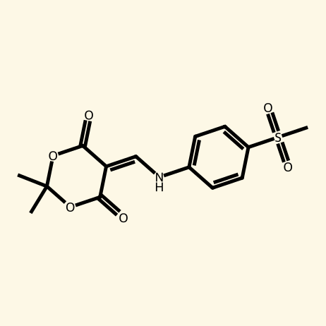 CC1(C)OC(=O)C(=CNc2ccc(S(C)(=O)=O)cc2)C(=O)O1